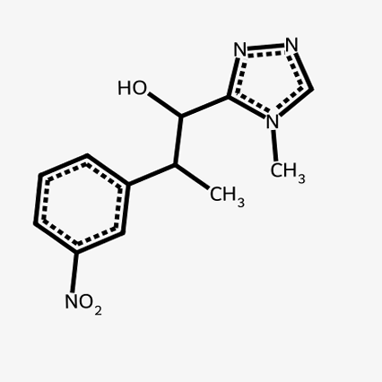 CC(c1cccc([N+](=O)[O-])c1)C(O)c1nncn1C